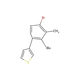 CCC(C)c1c(-c2[c]scc2)ccc(Br)c1C